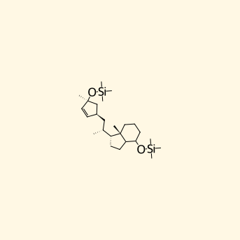 C[C@H](C[C@H]1C=C[C@@](C)(O[Si](C)(C)C)C1)[C@H]1CCC2C(O[Si](C)(C)C)CCC[C@]21C